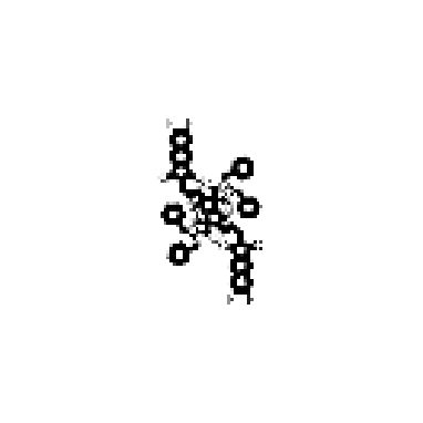 O=C1C(=Cc2cc3c(s2)C2=C(c4sc(C=C5C(=O)c6cc7cc(F)c(F)cc7cc6C5=O)cc4C2(C(=O)OCc2ccccc2)C(=O)OCc2ccccc2)C3(C(=O)OCc2ccccc2)C(=O)OCc2ccccc2)C(=O)c2cc3cc(F)c(F)cc3cc21